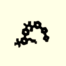 C[C@@H](NC(=O)c1cc(-c2ccn(C3COC3)c2)ccn1)c1ccc(-c2cc(C(F)(F)F)ccc2CN)cc1